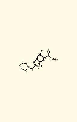 COC(=O)c1cc2[nH]c(CN3CCOCC3)cc2cc1C